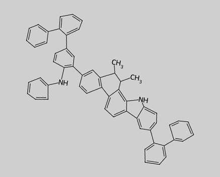 CC1c2cc(-c3cc(-c4ccccc4-c4ccccc4)ccc3Nc3ccccc3)ccc2-c2ccc3c([nH]c4ccc(-c5ccccc5-c5ccccc5)cc43)c2C1C